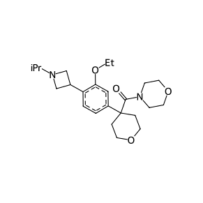 CCOc1cc(C2(C(=O)N3CCOCC3)CCOCC2)ccc1C1CN(C(C)C)C1